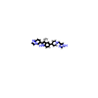 CC(C)c1c(-c2ccc3nccn3c2)[nH]c2ccc(C3CCN(Cc4c[nH]cn4)CC3)cc12